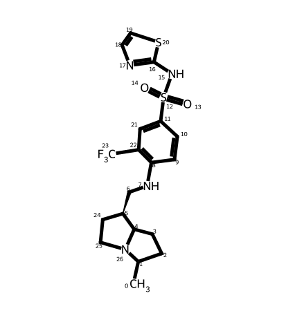 CC1CCC2[C@H](CNc3ccc(S(=O)(=O)Nc4nccs4)cc3C(F)(F)F)CCN12